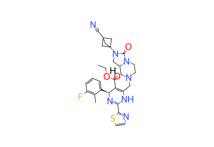 CCOC(=O)C1=C(CN2CCN3C(=O)N(C45CC(C#N)(C4)C5)C[C@@H]3C2)NC(c2nccs2)=N[C@H]1c1cccc(F)c1C